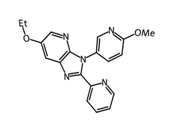 CCOc1cnc2c(c1)nc(-c1ccccn1)n2-c1ccc(OC)nc1